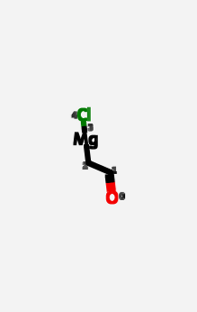 O=C[CH2][Mg][Cl]